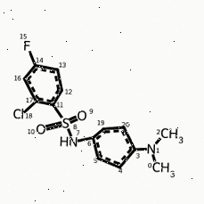 CN(C)c1ccc(NS(=O)(=O)c2ccc(F)cc2Cl)cc1